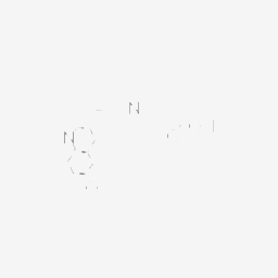 COc1ccc2ncc(F)c(CCCC3CC(CC(=O)O)CCN3CCC3CCCCC3)c2c1